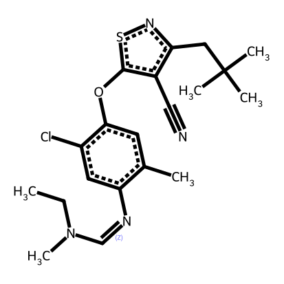 CCN(C)/C=N\c1cc(Cl)c(Oc2snc(CC(C)(C)C)c2C#N)cc1C